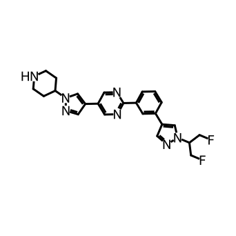 FCC(CF)n1cc(-c2cccc(-c3ncc(-c4cnn(C5CCNCC5)c4)cn3)c2)cn1